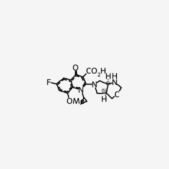 COc1cc(F)cc2c(=O)c(C(=O)O)c(N3C[C@@H]4CCCN[C@@H]4C3)n(C3CC3)c12